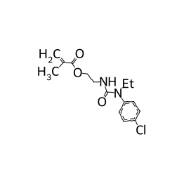 C=C(C)C(=O)OCCNC(=O)N(CC)c1ccc(Cl)cc1